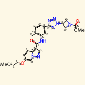 COCCOc1ccc2c(C(=O)Nc3cc(-c4nnn(C5CN(C(=O)OC)C5)n4)ccc3C)cnn2c1